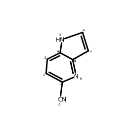 N#Cc1ccc2[nH]ccc2n1